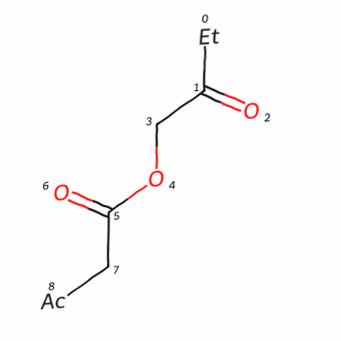 CCC(=O)COC(=O)CC(C)=O